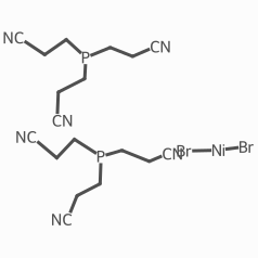 N#CCCP(CCC#N)CCC#N.N#CCCP(CCC#N)CCC#N.[Br][Ni][Br]